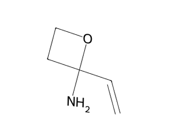 C=CC1(N)CCO1